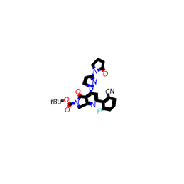 CC(C)(C)OC(=O)N1Cc2nc(-c3c(F)cccc3C#N)cc(-n3ccc(N4CCCC4=O)n3)c2C1=O